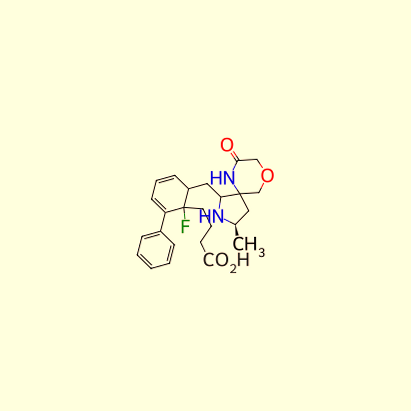 C[C@@H]1CC2(COCC(=O)N2)C(CC2C=CC=C(c3ccccc3)C2(F)CCCC(=O)O)N1